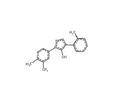 Cc1ccc(-n2ncc(-c3ccccc3C)c2O)cc1C